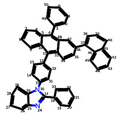 c1ccc(-c2c3ccccc3c(-c3ccc(-n4c(-c5ccccc5)nc5ccccc54)cc3)c3ccc(-c4cccc5ccccc45)cc23)cc1